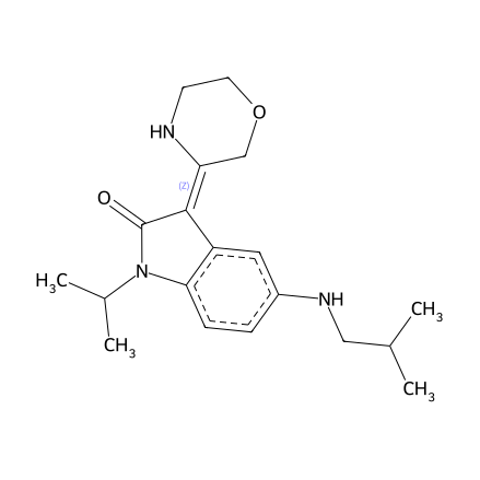 CC(C)CNc1ccc2c(c1)/C(=C1\COCCN1)C(=O)N2C(C)C